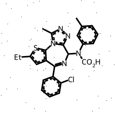 CCc1cc2c(s1)-n1c(C)nnc1C(N(C(=O)O)c1cccc(C)c1)N=C2c1ccccc1Cl